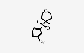 CC(C)c1cccc(S(=O)(=O)C2(C)CCOCC2)c1